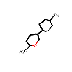 CC1CCC(C2CCC(C(F)(F)F)CC2)CO1